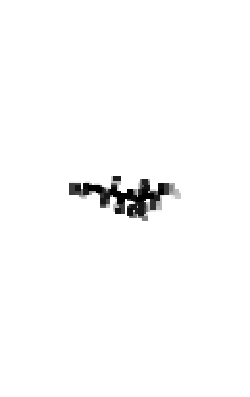 CCN[C@@H](F)C(=O)N[C@](C)(F)C(=O)NC